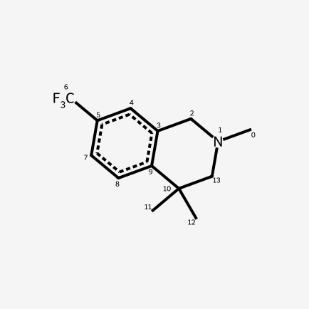 CN1Cc2cc(C(F)(F)F)ccc2C(C)(C)C1